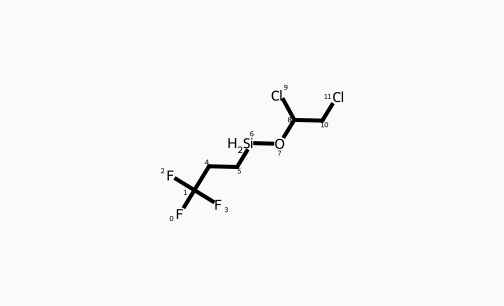 FC(F)(F)CC[SiH2]OC(Cl)CCl